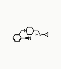 N#Cc1ccccc1CN1CCC(CNC2CC2)CC1